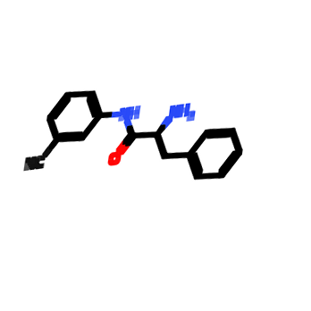 N#Cc1cccc(NC(=O)[C@@H](N)Cc2ccccc2)c1